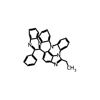 CCc1nc2ccc(-c3nc4ccccc4nc3-c3ccccc3)c3c2n1-c1ccccc1N3c1ccccc1